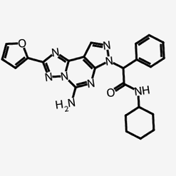 Nc1nc2c(cnn2C(C(=O)NC2CCCCC2)c2ccccc2)c2nc(-c3ccco3)nn12